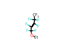 CCOC(F)(F)C(F)=C(F)C(F)(F)C(F)(F)F